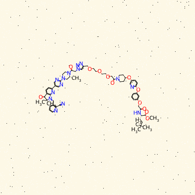 COC(=O)[C@H](CCC(C)(C)C)NC(=O)COc1cccc(Oc2ccc(OC3CCN(C(=O)COCCOCCOCc4cn(CC(=O)N5CCN(c6ncc(-c7ccc8c(n7)N(Cc7cccnc7C#N)C(C)(C)C8=O)cn6)C[C@H]5C)nn4)CC3)cn2)c1